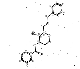 O=C(O[C@@H]1CCO[C@H](COCc2ccccc2)[C@H]1O)c1ccccc1